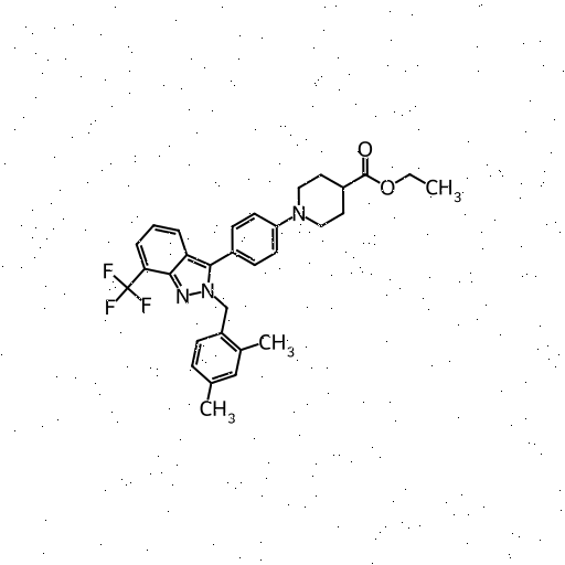 CCOC(=O)C1CCN(c2ccc(-c3c4cccc(C(F)(F)F)c4nn3Cc3ccc(C)cc3C)cc2)CC1